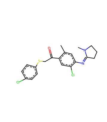 Cc1cc(N=C2CCCN2C)c(Cl)cc1C(=O)CSc1ccc(Cl)cc1